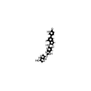 O=c1ccc(-c2cc(F)c3c(c2)CCC3Nc2nc3nc(O[C@@H]4CO[C@H]5[C@@H]4OC[C@H]5O)[nH]c3cc2Cl)c[nH]1